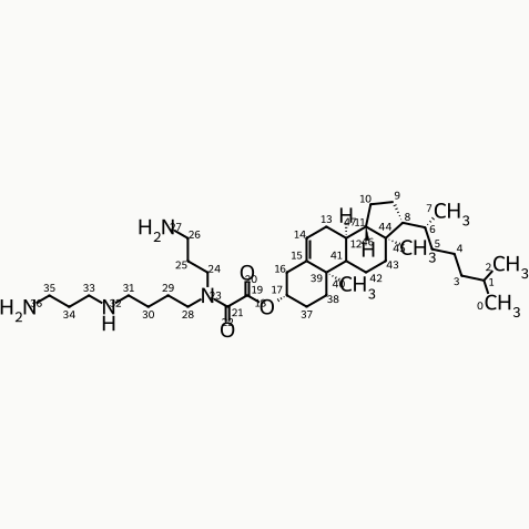 CC(C)CCC[C@@H](C)[C@H]1CC[C@H]2[C@@H]3CC=C4C[C@@H](OC(=O)C(=O)N(CCCN)CCCCNCCCN)CC[C@]4(C)C3CC[C@]12C